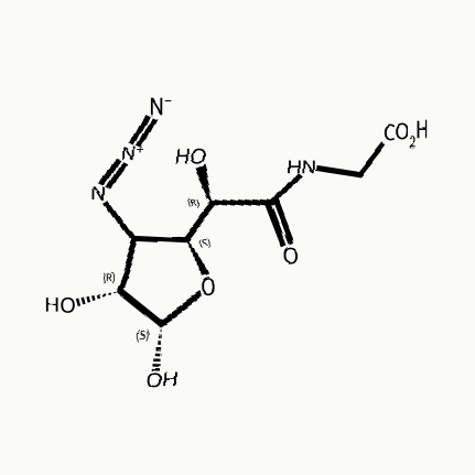 [N-]=[N+]=NC1[C@@H](O)[C@@H](O)O[C@@H]1[C@@H](O)C(=O)NCC(=O)O